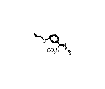 C=CCOc1cccc(C(N=C=S)C(=O)O)c1